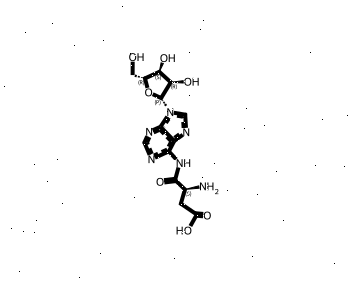 N[C@@H](CC(=O)O)C(=O)Nc1ncnc2c1ncn2[C@@H]1O[C@H](CO)[C@@H](O)[C@H]1O